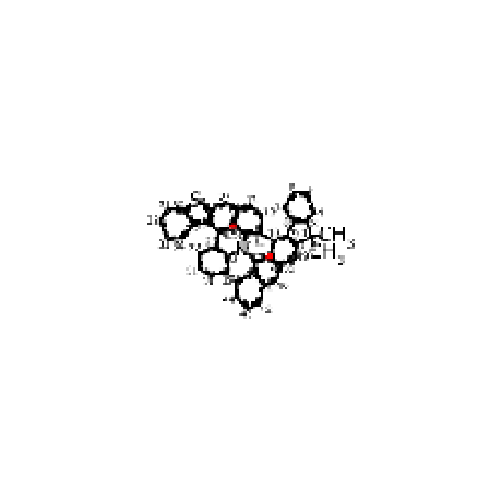 CC1(C)c2ccccc2-c2c(-c3ccccc3N(c3ccccc3-c3cccc4sc5ccccc5c34)c3cccc4ccccc34)cccc21